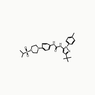 Cc1ccc(-n2nc(C(C)(C)C)cc2NC(=O)Nc2ccc(N3CCN(S(=O)(=O)C(C)C)CC3)cc2)cc1